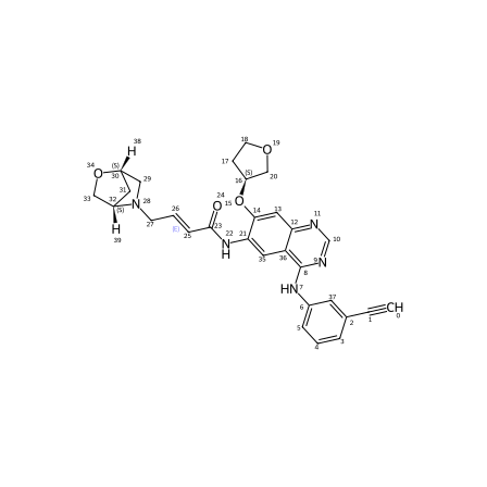 C#Cc1cccc(Nc2ncnc3cc(O[C@H]4CCOC4)c(NC(=O)/C=C/CN4C[C@@H]5C[C@H]4CO5)cc23)c1